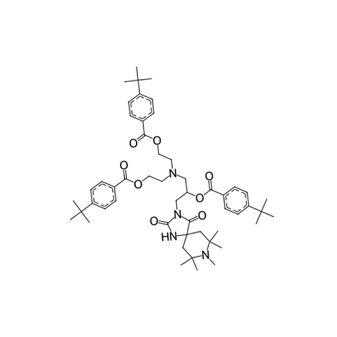 CN1C(C)(C)CC2(CC1(C)C)NC(=O)N(CC(CN(CCOC(=O)c1ccc(C(C)(C)C)cc1)CCOC(=O)c1ccc(C(C)(C)C)cc1)OC(=O)c1ccc(C(C)(C)C)cc1)C2=O